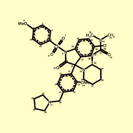 COc1ccc(S(=O)(=O)N2C(=O)C(c3ccc(CN4CCCC4)cc3OC)(N3CCCC[C@@H]3OC(=O)N(C)C)c3cc(Cl)ccc32)cc1